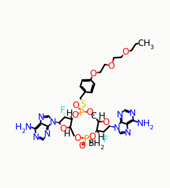 B[P@@]1(=O)OC[C@H]2O[C@@H](n3cnc4c(N)ncnc43)[C@H](F)[C@@H]2O[P@](=O)(SCc2ccc(OCCOCCOCCC)cc2)OC[C@H]2O[C@@H](n3cnc4c(N)ncnc43)[C@H](F)[C@@H]2O1